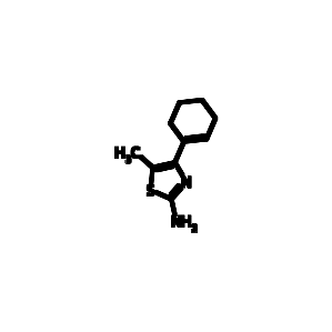 Cc1sc(N)nc1C1=CCCCC1